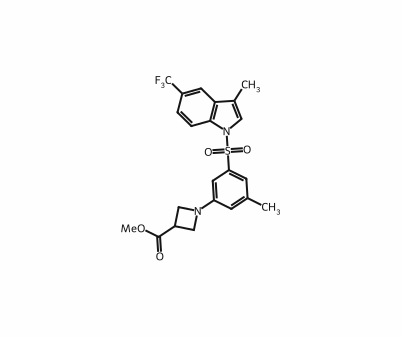 COC(=O)C1CN(c2cc(C)cc(S(=O)(=O)n3cc(C)c4cc(C(F)(F)F)ccc43)c2)C1